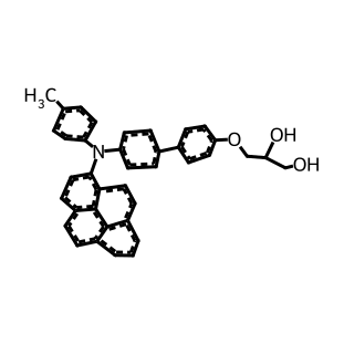 Cc1ccc(N(c2ccc(-c3ccc(OCC(O)CO)cc3)cc2)c2ccc3ccc4cccc5ccc2c3c45)cc1